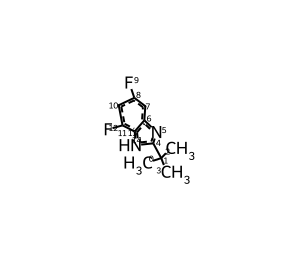 CC(C)(C)c1nc2cc(F)cc(F)c2[nH]1